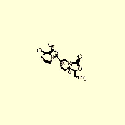 C=CC1OC(=O)N2C[C@H](c3nc(Br)c4c(Cl)nccn34)CC[C@@H]12